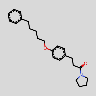 O=C(CCc1ccc(OCCCCCc2ccccc2)cc1)N1CCCC1